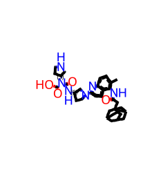 Cc1ccc2nc(N3CC[C@H](NC(=O)N(C(=O)O)[C@H]4CCNC4)C3)ccc2c1NC(=O)CC12CC3CC(CC(C3)C1)C2